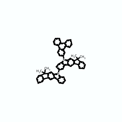 CC1(C)c2ccccc2-c2cc3c4ccccc4n(-c4ccc5c(c4)c4cc6c(cc4n5-c4ccc5c7ccccc7c7ccccc7c5c4)C(C)(C)c4ccccc4-6)c3cc21